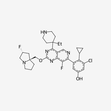 CCC1(c2nc(OC[C@@]34CCCN3C[C@H](F)C4)nc3c(F)c(-c4cc(O)cc(Cl)c4C4CC4)ncc23)CCNCC1